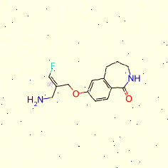 NC/C(=C/F)COc1ccc2c(c1)CCCNC2=O